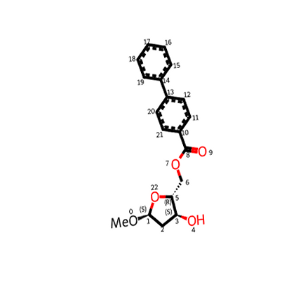 CO[C@@H]1C[C@H](O)[C@@H](COC(=O)c2ccc(-c3ccccc3)cc2)O1